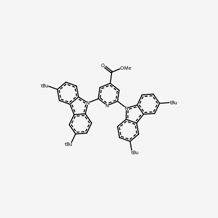 COC(=O)c1cc(-n2c3ccc(C(C)(C)C)cc3c3cc(C(C)(C)C)ccc32)nc(-n2c3ccc(C(C)(C)C)cc3c3cc(C(C)(C)C)ccc32)c1